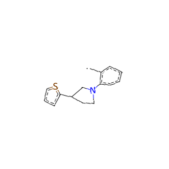 [CH2]c1ccccc1N1CCC(c2cccs2)C1